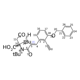 C#Cc1c(/C=C/C(=O)N(C(C)(C)C)[C@@](CC(=O)O)(C(=O)O)C(C)(C)C)cccc1OCc1ccccc1